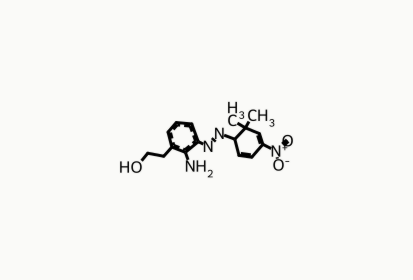 CC1(C)C=C([N+](=O)[O-])C=CC1N=Nc1cccc(CCO)c1N